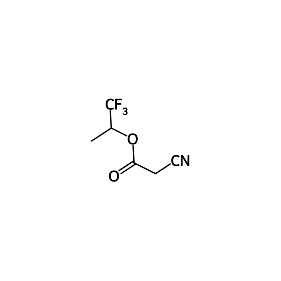 CC(OC(=O)CC#N)C(F)(F)F